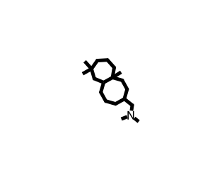 CN(C)CC1CCCC2CC(C)(C)CCCC2(C)CC1